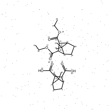 CC1(C)C2CCC1C(C(=O)O)C2C(=O)O.CCOC(=O)C1C(C(=O)OCC)C2CCC1C2(C)C